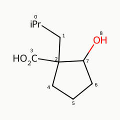 CC(C)CC1(C(=O)O)CCCC1O